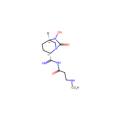 N=C(NC(=O)CCNC(=O)O)[C@@H]1CC[C@@H]2CN1C(=O)N2O